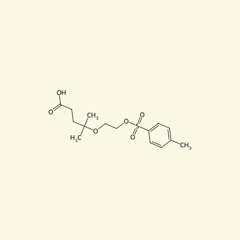 Cc1ccc(S(=O)(=O)OCCOC(C)(C)CCC(=O)O)cc1